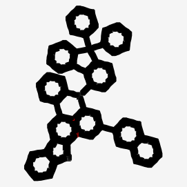 c1ccc(C2(c3ccccc3)c3ccccc3-c3c(N(c4cccc(-c5ccc6ccccc6c5)c4)c4ccccc4-c4ccc5oc6ccccc6c5c4)cccc32)cc1